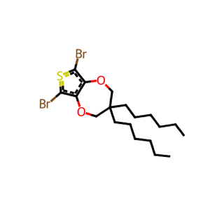 CCCCCCC1(CCCCCC)COc2c(Br)sc(Br)c2OC1